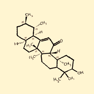 C[C@@H]1[C@H]2C3=CC(=O)[C@@H]4[C@@]5(C)CCC(O)C(C)(C)C5CC[C@@]4(C)[C@]3(C)CC[C@H]2CC[C@H]1C